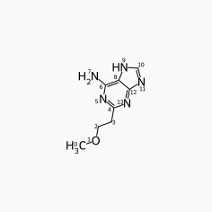 COCCc1nc(N)c2[nH]cnc2n1